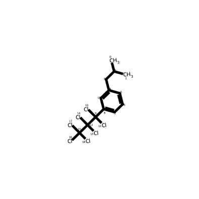 CC(C)[CH]c1cccc(C(Cl)(Cl)C(Cl)(Cl)C(Cl)(Cl)Cl)c1